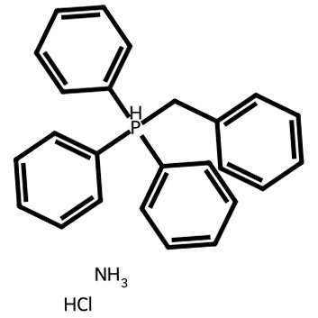 Cl.N.c1ccc(C[PH](c2ccccc2)(c2ccccc2)c2ccccc2)cc1